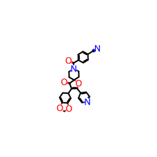 N#Cc1ccc(C(=O)N2CCC3(CC2)OC(c2ccncc2)=C(C2C=C4OCOC4=CC2)C3=O)cc1